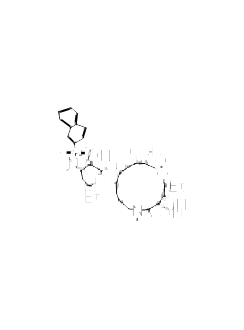 CC[C@@H]1C[C@H](N(C)S(=O)(=O)c2ccc3ccccc3c2)[C@@H](O)[C@H](O[C@@H]2[C@@H](C)[C@H](O)[C@@H](C)C(=O)O[C@H](CC)[C@@](C)(O)[C@H](O)[C@@H](C)N(C)C[C@H](C)C[C@@H]2C)O1